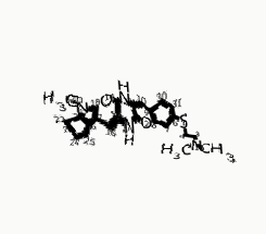 CN(C)CCSc1ccc(C=c2[nH]c(=O)c(=Cc3cn(C)c4ccccc34)[nH]c2=O)cc1